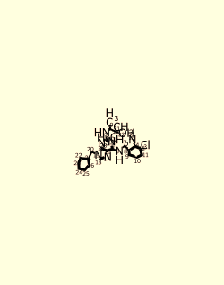 CC(Nc1nc(NCc2cccc(Cl)c2N)c2ncn(Cc3ccccc3)c2n1)C(C)(C)O